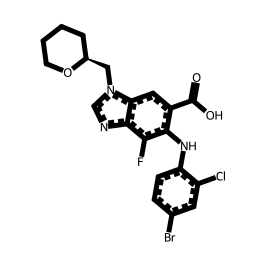 O=C(O)c1cc2c(ncn2C[C@@H]2CCCCO2)c(F)c1Nc1ccc(Br)cc1Cl